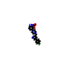 O=c1[nH]c2cccc(N3CCN(Cc4cncc(-c5ccc(F)cc5)c4)CC3)c2o1